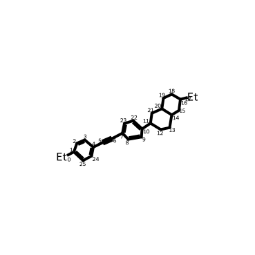 CCc1ccc(C#Cc2ccc(C3CCC4CC(CC)CCC4C3)cc2)cc1